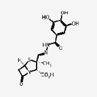 C[C@@]1(/C=N/NC(=O)c2cc(O)c(O)c(O)c2)S[C@@H]2CC(=O)N2[C@H]1C(=O)O